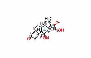 CC1C[C@H]2[C@@H]3CCC4=CC(=O)C=C[C@]4(C)[C@@]3(F)C(O)C[C@]2(C)[C@H]1C(=O)CO